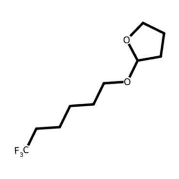 FC(F)(F)CCCCCOC1CCCO1